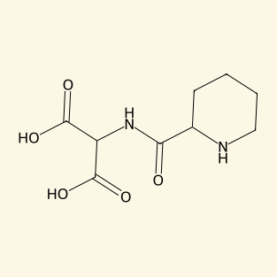 O=C(NC(C(=O)O)C(=O)O)C1CCCCN1